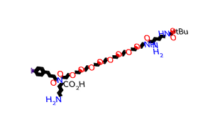 CC(C)(C)OC(=O)NCCCC[C@H](N)C(=O)NCCOCCOCCOCCOCCOCCOCCOCCOCCC(=O)N(C(=O)CCCc1ccc(I)cc1)[C@@H](CCCCN)C(=O)O